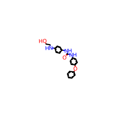 O=C(Nc1ccc(NCCO)cc1)Nc1ccc(Oc2ccccc2)cc1